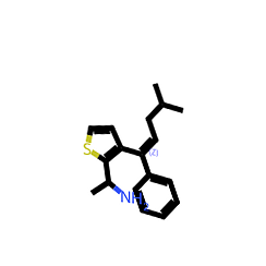 CC(C)C/C=C(/c1ccccc1)c1ccsc1C(C)N